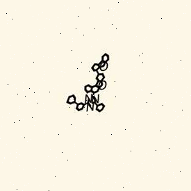 c1ccc(-c2cccc(-c3nc(-c4ccccc4)nc(-c4cc5oc6ccc(-c7cccc8c7oc7ccccc78)cc6c5c5ccccc45)n3)c2)cc1